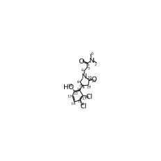 CN(C)C(=O)CCN1C[C@H](c2c(O)ccc(Cl)c2Cl)CC1=O